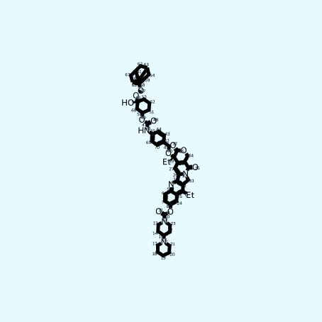 CCc1c2c(nc3ccc(OC(=O)N4CCC(N5CCCCC5)CC4)cc13)-c1cc3c(c(=O)n1C2)COC(=O)[C@@]3(CC)OCc1ccc(NC(=O)OC2CCC[C@@](O)(OOC3C4CC5CC(C4)CC3C5)C2)cc1